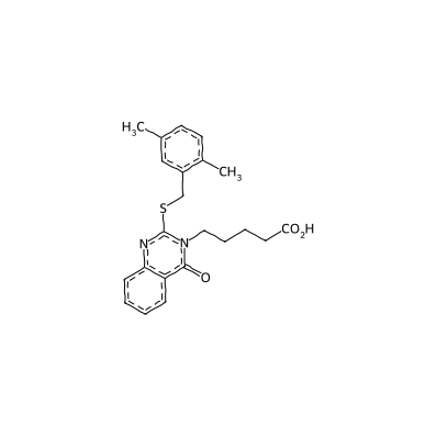 Cc1ccc(C)c(CSc2nc3ccccc3c(=O)n2CCCCC(=O)O)c1